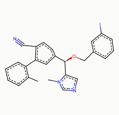 Cc1ccccc1-c1cc([C@@H](OCc2cccc(I)c2)c2cncn2C)ccc1C#N